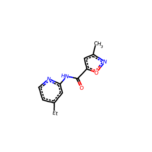 CCc1ccnc(NC(=O)c2cc(C)no2)c1